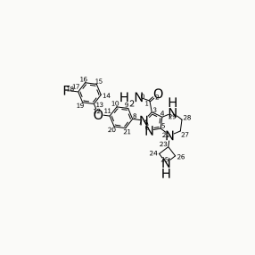 NC(=O)c1c2c(nn1-c1ccc(Oc3cccc(F)c3)cc1)N(C1CNC1)CCN2